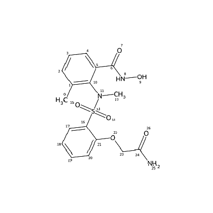 Cc1cccc(C(=O)NO)c1N(C)S(=O)(=O)c1ccccc1OCC(N)=O